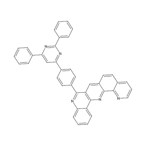 c1ccc(-c2cc(-c3ccc(-c4nc5ccccc5c5nc6c(ccc7cccnc76)cc45)cc3)nc(-c3ccccc3)n2)cc1